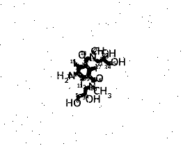 CN(CC(O)CO)C(=O)c1c(I)c(N)c(I)c(C(=O)N(C)CC(O)CO)c1I